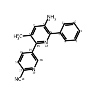 Cc1cc(N)c(-c2ccccc2)nc1-c1ccc(C#N)nc1